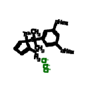 CCCCCCc1cc(CCCCCC)cc([Si](C)(C)[C]2([Ti+3])C=CC=C2C)c1.[Cl-].[Cl-].[Cl-]